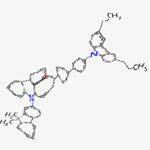 CCCc1ccc2c(c1)c1cc(CCC)ccc1n2-c1ccc(-c2ccc(-c3ccc(N(c4ccc5c(c4)C(C)(C)c4ccccc4-5)c4ccccc4-c4ccccc4)cc3)cc2)cc1